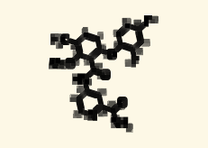 COc1c(C(F)(F)F)ccc(Oc2ccc(F)cc2F)c1C(=O)Nc1ccnc(C(N)=O)c1